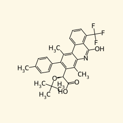 Cc1ccc(-c2c([C@H](OC(C)(C)C)C(=O)O)c(C)c3nc(O)c4c(C(F)(F)F)cccc4c3c2C)cc1